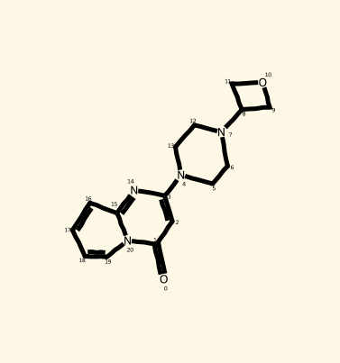 O=c1cc(N2CCN(C3COC3)CC2)nc2ccccn12